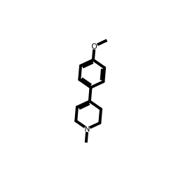 COc1ccc(C2=CCN(C)CC2)cc1